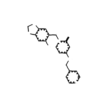 O=c1cc(OCc2ccncc2)ccn1Cc1cc2c(cc1Cl)OCO2